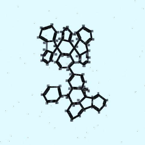 CC12c3ccccc3-c3cccc(c31)N(c1ccccc1)c1cc(-c3ccc4c(c3)C3(c5ccccc5-c5ccccc53)c3ccccc3C43c4ccccc4-c4ccccc43)ccc12